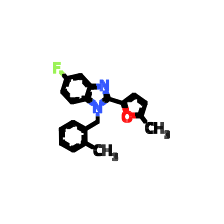 Cc1ccc(-c2nc3cc(F)ccc3n2Cc2ccccc2C)o1